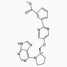 COC(=O)c1cccc(-c2ncc(OC[C@H]3CCCN3c3ncnc4[nH]cnc34)cn2)c1